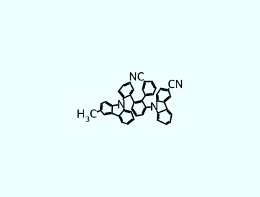 Cc1ccc2c(c1)c1ccccc1n2-c1ccccc1-c1cccc(-n2c3ccccc3c3cc(C#N)ccc32)c1-c1cccc(C#N)c1